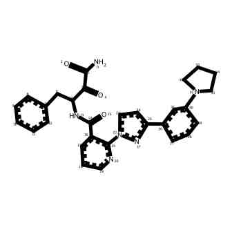 NC(=O)C(=O)C(Cc1ccccc1)NC(=O)c1cccnc1-n1ccc(-c2cccc(N3CCCC3)c2)n1